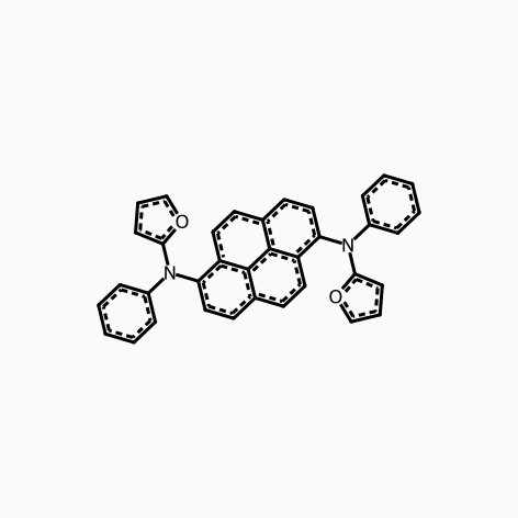 c1ccc(N(c2ccco2)c2ccc3ccc4c(N(c5ccccc5)c5ccco5)ccc5ccc2c3c54)cc1